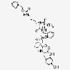 CS(=O)(=O)N[C@@H](CCCCNC(=O)OCc1ccccc1)C(=O)N[C@@H](CP(=O)(O)CC1(C(=O)N[C@@H](Cc2ccc(O)cc2)C(=O)O)CCCC1)c1ccccc1